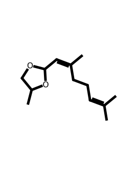 CC(C)=CCCC(C)=CC1OCC(C)O1